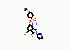 CC(C)(C)c1ccc(S(=O)(=O)Nc2ccc(Cl)c3c2C(=O)N(c2ccc(F)nc2)C3=O)cc1